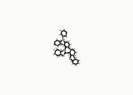 c1ccc(-n2c3ccccc3c3c2ccc2c4ccc5c6ccccc6sc5c4c4nc5ccccc5n4c23)cc1